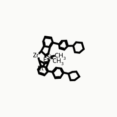 CCC1=C2c3c(-c4ccc(C5CCCCC5)cc4)cccc3[CH]1[Zr][CH]1C(CC)=C(c3c(-c4ccc(C5CCCCC5)cc4)cccc31)[Si]2(C)C